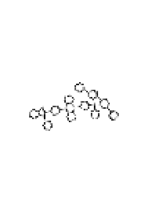 c1ccc(-c2ccc3c(c2)C(c2ccccc2)(c2ccc(-c4c5ccccc5c(-c5ccc(-c6nc7ccccc7n6-c6ccccc6)cc5)c5ccccc45)cc2)c2cc(-c4ccccc4)ccc2-3)cc1